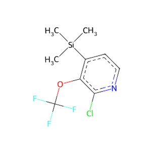 C[Si](C)(C)c1ccnc(Cl)c1OC(F)(F)F